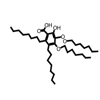 CCCCCCCCc1c(CCCCCCCC)c(C(=O)O)c(O)c(OOCCCCCCC)c1OCCCCCCC